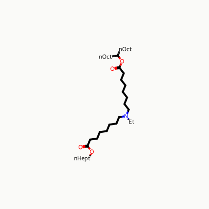 CCCCCCCCC(CCCCCCCC)OC(=O)CCCCCCCN(CC)CCCCCCCC(=O)OCCCCCCC